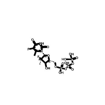 Cc1c(F)c(=O)[nH]c(=O)n1[C@@H]1O[C@H](COP(=O)(O)OP(=O)(O)OP(=O)(O)O)C(O)[C@@]1(C)F